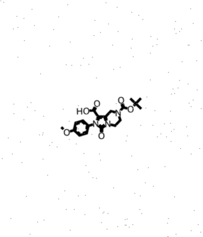 COc1ccc(-n2c(C(=O)O)c3n(c2=O)CCN(C(=O)OC(C)(C)C)C3)cc1